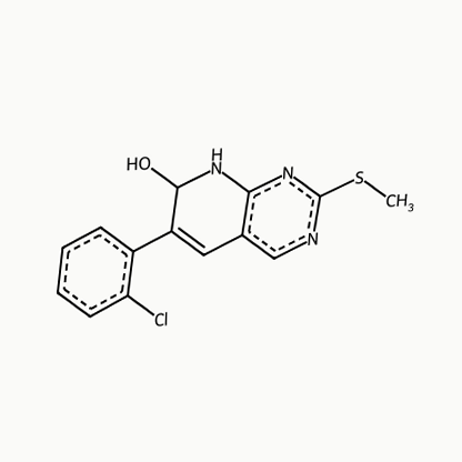 CSc1ncc2c(n1)NC(O)C(c1ccccc1Cl)=C2